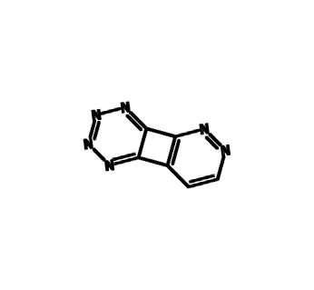 c1cc2c(nn1)-c1nnnnc1-2